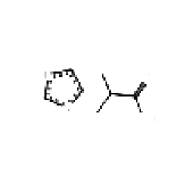 CC(C)C(=O)O.c1c[nH]cn1